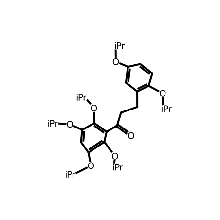 CC(C)Oc1ccc(OC(C)C)c(CCC(=O)c2c(OC(C)C)c(OC(C)C)cc(OC(C)C)c2OC(C)C)c1